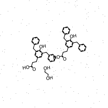 O=C(O)CCc1cc(Cc2ccccc2)c(O)c(Cc2ccccc2)c1.O=C(O)CCc1cc(Cc2ccccc2)c(O)c(Cc2ccccc2)c1.OCCO